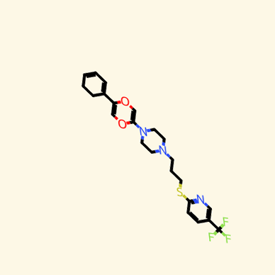 FC(F)(F)c1ccc(SCCCN2CCN(C3=COC(C4=CC=CCC4)=CO3)CC2)nc1